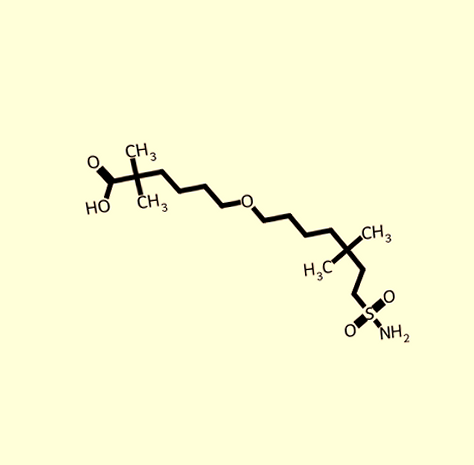 CC(C)(CCCCOCCCCC(C)(C)C(=O)O)CCS(N)(=O)=O